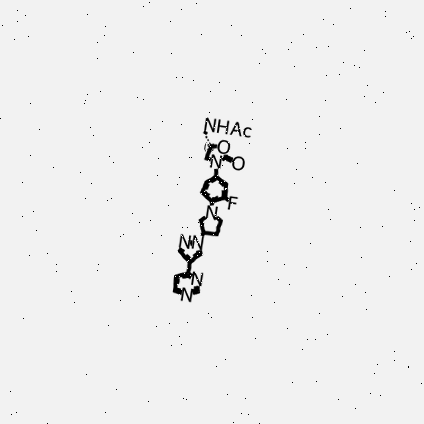 CC(=O)NC[C@H]1CN(c2ccc(N3CCC(n4cc(-c5ccncn5)cn4)C3)c(F)c2)C(=O)O1